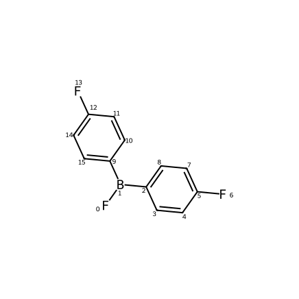 FB(c1ccc(F)cc1)c1ccc(F)cc1